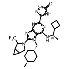 C[C@@H](Nc1nc(-c2noc(=O)[nH]2)nc2nc(N3CC4CC4C3C(F)(F)F)n(C[C@H]3CC[C@H](C)CC3)c12)C1CCC1